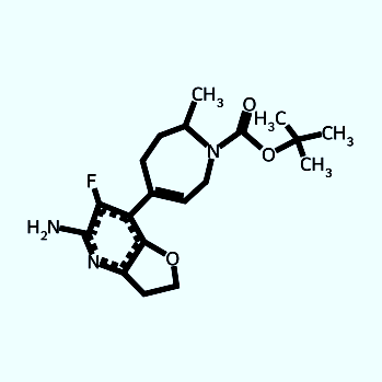 CC1CCC(c2c(F)c(N)nc3c2OCC3)=CCN1C(=O)OC(C)(C)C